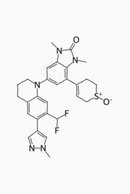 Cn1cc(-c2cc3c(cc2C(F)F)N(c2cc(C4=CC[S+]([O-])CC4)c4c(c2)n(C)c(=O)n4C)CCC3)cn1